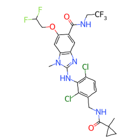 Cn1c(Nc2c(Cl)ccc(CNC(=O)C3(C)CC3)c2Cl)nc2cc(C(=O)NCC(F)(F)F)c(OCC(F)F)cc21